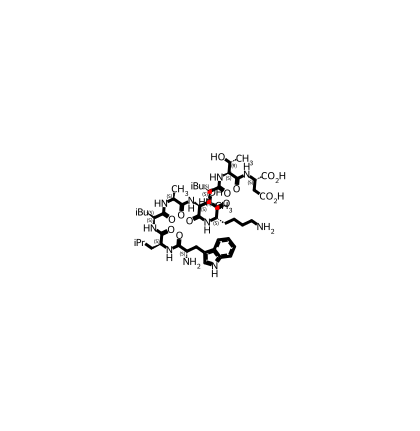 CC[C@H](C)[C@H](NC(=O)[C@H](CC(C)C)NC(=O)[C@@H](N)Cc1c[nH]c2ccccc12)C(=O)N[C@@H](C)C(=O)N[C@H](C(=O)N[C@@H](CCCCN)C(=O)N[C@H](C(=O)N[C@H](C(=O)N[C@@H](CC(=O)O)C(=O)O)[C@@H](C)O)[C@@H](C)CC)[C@@H](C)O